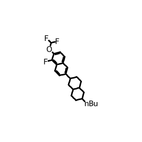 CCCCC1CCC2CC(c3ccc4c(F)c(OC(F)F)ccc4c3)CCC2C1